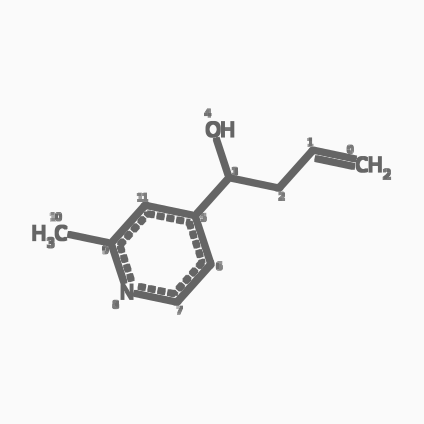 C=CCC(O)c1ccnc(C)c1